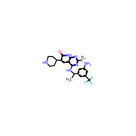 Cc1nc(NC(C)c2cc(N)cc(C(F)(F)F)c2)c2cc(C3CCNCC3)c(=O)[nH]c2n1